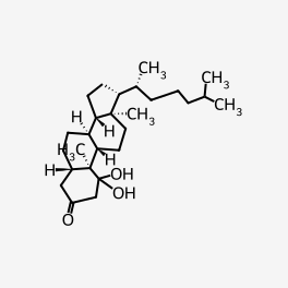 CC(C)CCC[C@@H](C)[C@H]1CC[C@H]2[C@@H]3CC[C@H]4CC(=O)CC(O)(O)[C@]4(C)[C@H]3CC[C@]12C